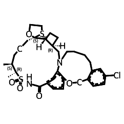 C[C@@H]1[C@@H](C)CCC[C@@]2(OCCS2)[C@@H]2CC[C@H]2CN2CCCCc3cc(Cl)ccc3COc3ccc(cc32)C(=O)NS1(=O)=O